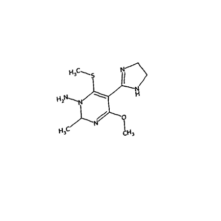 COC1=NC(C)N(N)C(SC)=C1C1=NCCN1